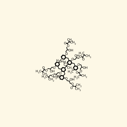 C=C(C)COCC(O)COc1c(Cc2cc(C)ccc2OCC(O)COC(=O)C(=C)C)cc(C(C)(C)c2cc(Cc3cc(C)ccc3OCC(O)COC(=O)C(=C)C)c(OCC(O)COC(=O)C(=C)C)c(Cc3cc(C)ccc3OCC(O)COC(=O)C(=C)C)c2)cc1Cc1cc(C)ccc1OCC(O)COC(=O)C(=C)C